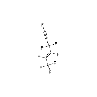 FC#CC(F)(F)C(F)=C(F)C(F)(F)F